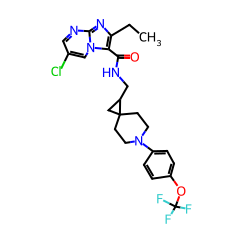 CCc1nc2ncc(Cl)cn2c1C(=O)NCC1CC12CCN(c1ccc(OC(F)(F)F)cc1)CC2